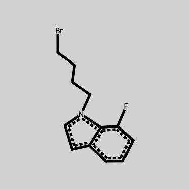 Fc1cccc2ccn(CCCCBr)c12